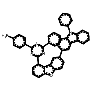 Pc1ccc(-c2nc(-c3ccccc3)nc(-c3cccc4oc5ccc(-c6ccc7c(c6)c6ccccc6n7-c6ccccc6)cc5c34)n2)cc1